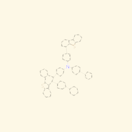 c1ccc(-c2ccc(-c3c(-c4ccc(N(c5ccc(-c6ccccc6)cc5)c5ccc(-c6cccc7c6sc6ccccc67)cc5)cc4)c4ccccc4c4sc5ccccc5c34)cc2)cc1